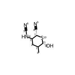 CC1CC(NC#N)[C@H](C#N)S[C@@H]1O